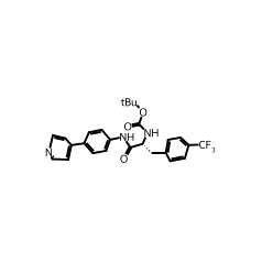 CC(C)(C)OC(=O)N[C@H](Cc1ccc(C(F)(F)F)cc1)C(=O)Nc1ccc(-c2ccncc2)cc1